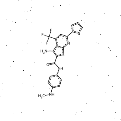 CNc1ccc(NC(=O)c2sc3nc(-c4cccs4)cc(C(F)(F)F)c3c2N)cc1